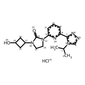 CC(C)n1cnnc1-c1cccc(N2CCN(C3CC(O)C3)C2=O)n1.Cl